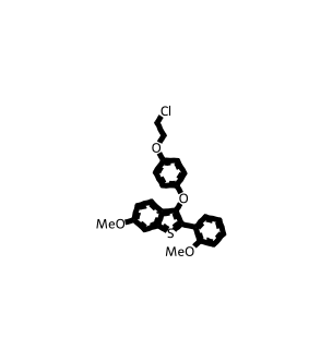 COc1ccc2c(Oc3ccc(OCCCl)cc3)c(-c3ccccc3OC)sc2c1